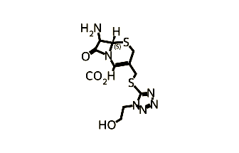 NC1C(=O)N2C(C(=O)O)=C(CSc3nnnn3CCO)CS[C@@H]12